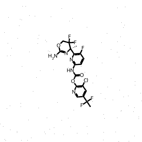 CC(F)(F)c1cnc(OC(=O)Nc2ccc(F)c([C@@]3(C)N=C(N)OCC3(F)F)n2)c(Cl)c1